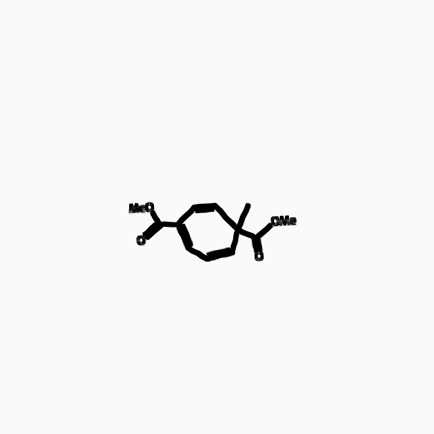 COC(=O)C1=CC=CC(C)(C(=O)OC)C=C1